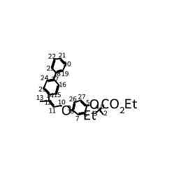 CCOC(=O)C(C)(CC)Oc1ccc(OCC=C(C)c2ccc(-c3ccccc3)cc2)cc1